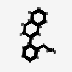 NCc1ccccc1C1=Nc2ccccc2CO1